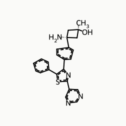 C[C@]1(O)C[C@@](N)(c2ccc(-c3nc(-c4cncnc4)sc3-c3ccccc3)cc2)C1